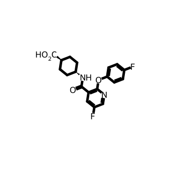 O=C(N[C@H]1CC[C@H](C(=O)O)CC1)c1cc(F)cnc1Oc1ccc(F)cc1